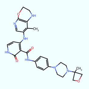 Cc1c(Nc2cc[nH]c(=O)c2C(=O)Nc2ccc(N3CCN(C4(C)COC4)CC3)cc2)cnc2c1NCCO2